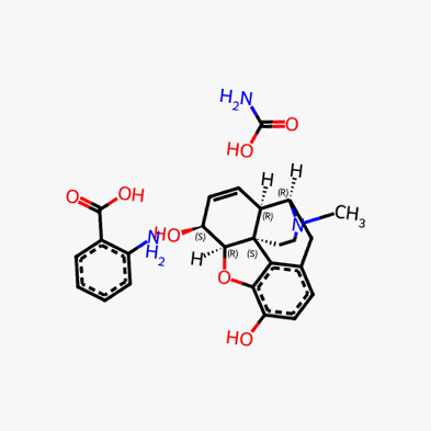 CN1CC[C@]23c4c5ccc(O)c4O[C@H]2[C@@H](O)C=C[C@H]3[C@H]1C5.NC(=O)O.Nc1ccccc1C(=O)O